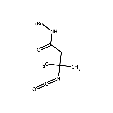 CC(C)(CC(=O)NC(C)(C)C)N=C=O